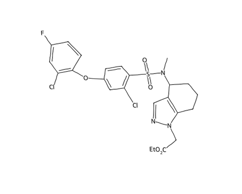 CCOC(=O)Cn1ncc2c1CCCC2N(C)S(=O)(=O)c1ccc(Oc2ccc(F)cc2Cl)cc1Cl